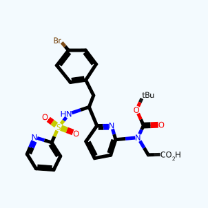 CC(C)(C)OC(=O)N(CC(=O)O)c1cccc(C(Cc2ccc(Br)cc2)NS(=O)(=O)c2ccccn2)n1